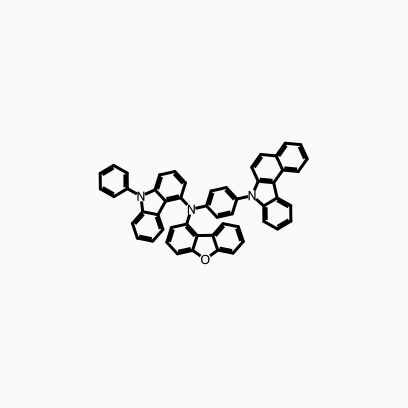 c1ccc(-n2c3ccccc3c3c(N(c4ccc(-n5c6ccccc6c6c7ccccc7ccc65)cc4)c4cccc5oc6ccccc6c45)cccc32)cc1